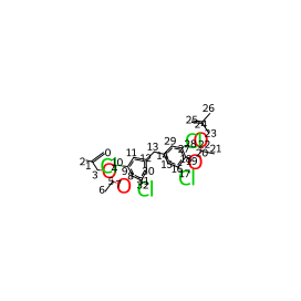 C=C(C)COC(C)Oc1c(Cl)cc(Cc2cc(Cl)c(OC(C)OCC(=C)C)c(Cl)c2)cc1Cl